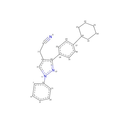 N#CCc1cn(-c2ccccc2)nc1-c1ccc(C2CCCCC2)cc1